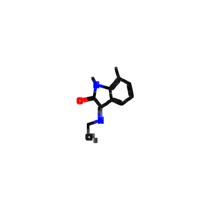 Cc1cccc2c1N(C)C(=O)C2=NCC(F)(F)F